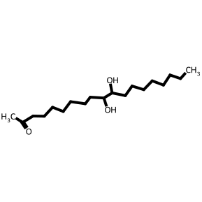 CCCCCCCCC(O)C(O)CCCCCCCC(C)=O